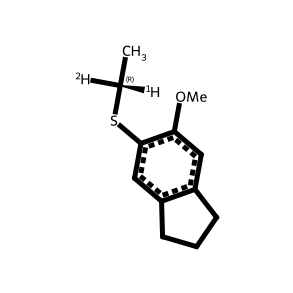 [1H][C@@]([2H])(C)Sc1cc2c(cc1OC)CCC2